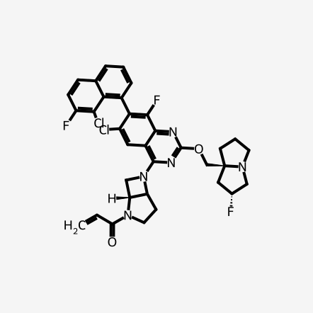 C=CC(=O)N1CCC2[C@H]1CN2c1nc(OC[C@@]23CCCN2C[C@H](F)C3)nc2c(F)c(-c3cccc4ccc(F)c(Cl)c34)c(Cl)cc12